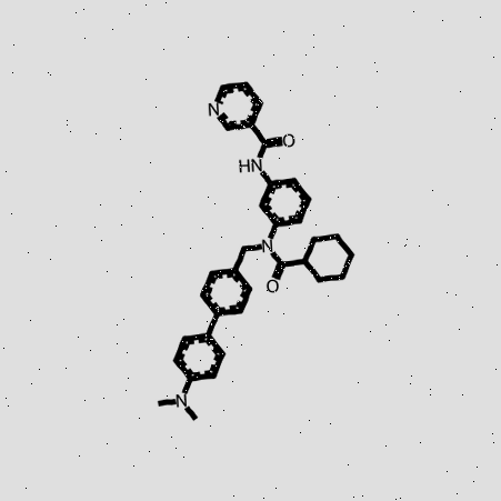 CN(C)c1ccc(-c2ccc(CN(C(=O)C3CCCCC3)c3cccc(NC(=O)c4cccnc4)c3)cc2)cc1